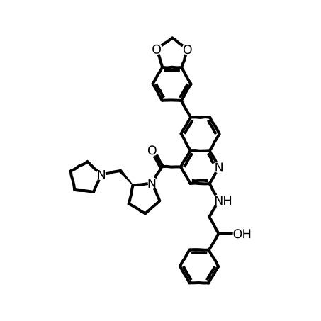 O=C(c1cc(NCC(O)c2ccccc2)nc2ccc(-c3ccc4c(c3)OCO4)cc12)N1CCC[C@H]1CN1CCCC1